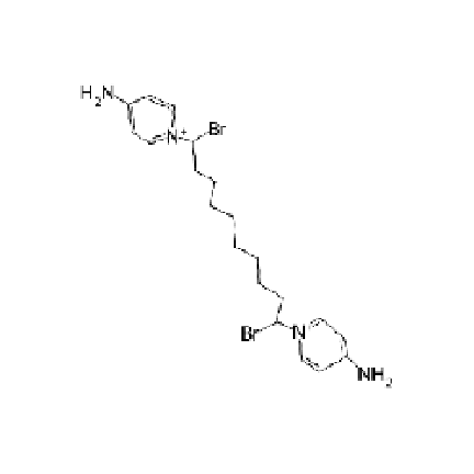 Nc1cc[n+](C(Br)CCCCCCCCC(Br)[n+]2ccc(N)cc2)cc1